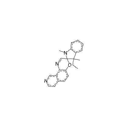 CCC1(C)c2ccccc2N(C)C12C=Nc1c(ccc3ccncc13)O2